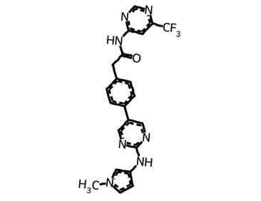 Cn1ccc(Nc2ncc(-c3ccc(CC(=O)Nc4cc(C(F)(F)F)ncn4)cc3)cn2)c1